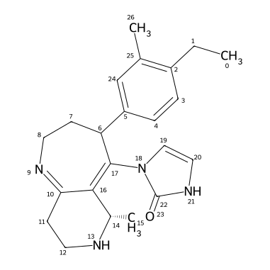 CCc1ccc(C2CCN=C3CCN[C@@H](C)C3=C2n2cc[nH]c2=O)cc1C